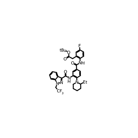 CCC1CCCCN1c1ccc(C(=O)Nc2ccc(F)cc2CC(=O)OC(C)(C)C)cc1NC(=O)c1nn(CC(F)(F)F)c2ccccc12